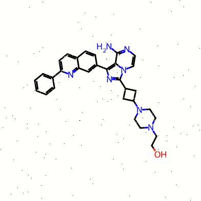 Nc1nccn2c(C3CC(N4CCN(CCO)CC4)C3)nc(-c3ccc4ccc(-c5ccccc5)nc4c3)c12